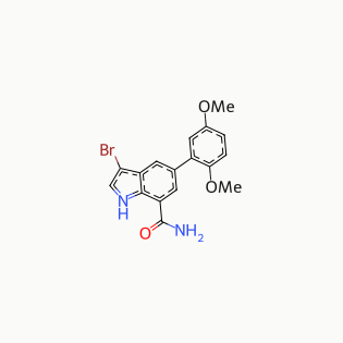 COc1ccc(OC)c(-c2cc(C(N)=O)c3[nH]cc(Br)c3c2)c1